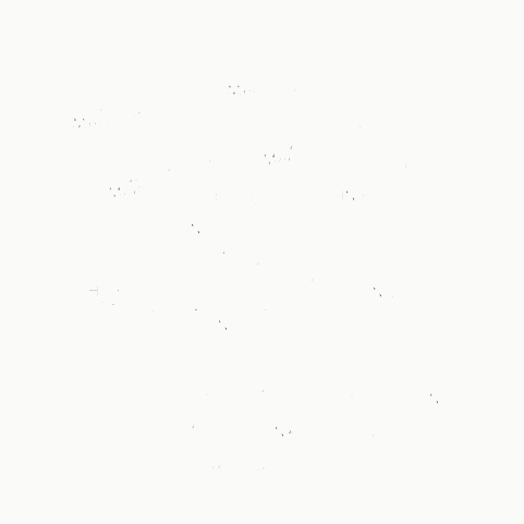 COc1cccc(C(=O)Nc2ccn3c2CSC3c2cccnc2)c1OC.COc1cccc(C(=O)Nc2ccn3c2CSC3c2cccnc2)c1OC.O